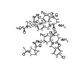 CC(=O)N1CC2CC2(c2nnc(-c3cc4c(cc3F)S(=O)(=O)C[C@H](N)C(=O)N4Cc3ccc(Cl)cc3)o2)C1.COC(=O)N1CC(c2nnc(-c3cc4c(cc3F)S(=O)(=O)C[C@H](N)C(=O)N4Cc3ccc(Cl)cc3)o2)C1